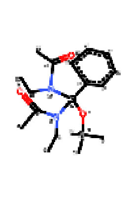 CCN(C(C)=O)[Si](O[Si](C)(C)C)(c1ccccc1)N(CC)C(C)=O